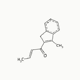 C/C=C/C(=O)C1=C(C)c2ccccc2C1